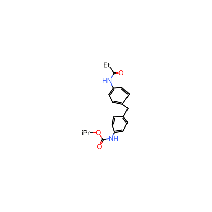 CCC(=O)Nc1ccc(Cc2ccc(NC(=O)OC(C)C)cc2)cc1